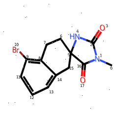 CN1C(=O)NC2(CCc3c(Br)cccc3C2)C1=O